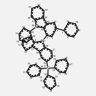 c1ccc(-c2cc(-n3c4ccccc4c4cc([Si](c5ccccc5)(c5ccccc5)c5ccccc5)ccc43)c3c(c2)c2ccccc2n3-c2ccccc2)cc1